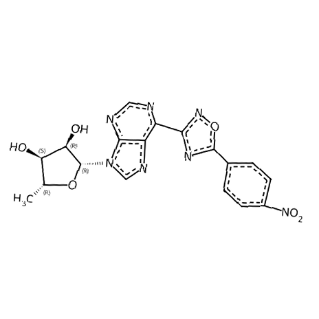 C[C@H]1O[C@@H](n2cnc3c(-c4noc(-c5ccc([N+](=O)[O-])cc5)n4)ncnc32)[C@H](O)[C@@H]1O